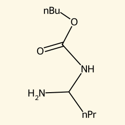 CCCCOC(=O)NC(N)CCC